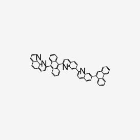 c1ccc2c(c1)cc(-c1ccc3ccc(-c4ccc5ccc(-c6c7ccccc7c(-c7ccc8ccc9cccnc9c8n7)c7ccccc67)nc5c4)nc3c1)c1ccccc12